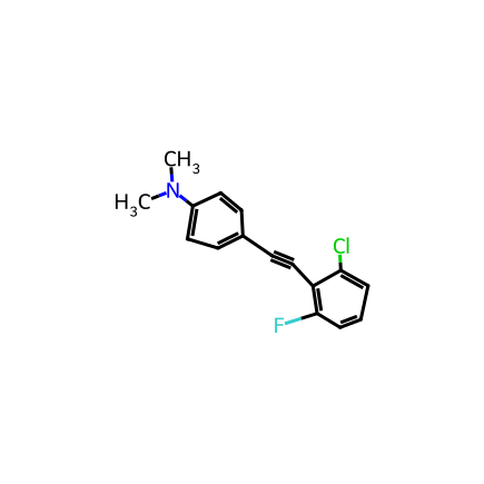 CN(C)c1ccc(C#Cc2c(F)cccc2Cl)cc1